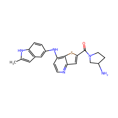 Cc1cc2cc(Nc3ccnc4cc(C(=O)N5CCC(N)C5)sc34)ccc2[nH]1